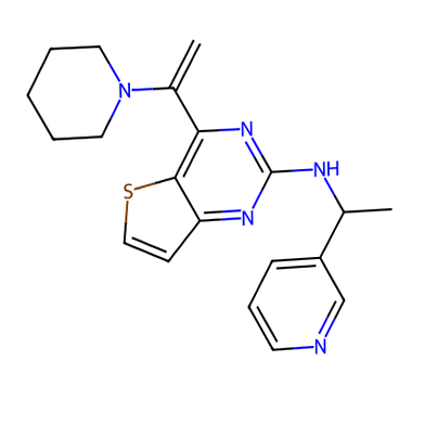 C=C(c1nc(NC(C)c2cccnc2)nc2ccsc12)N1CCCCC1